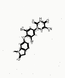 CN1C(=O)Cc2ccc(Oc3c(Br)cc(-n4nc(C#N)c(=O)[nH]c4=O)cc3Br)cc21